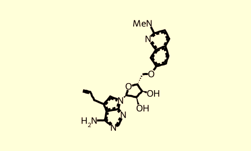 C=CCc1cn([C@@H]2O[C@H](COc3ccc4ccc(NC)nc4c3)[C@@H](O)[C@H]2O)c2ncnc(N)c12